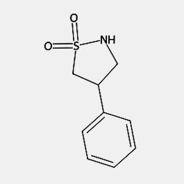 O=S1(=O)CC(c2ccccc2)CN1